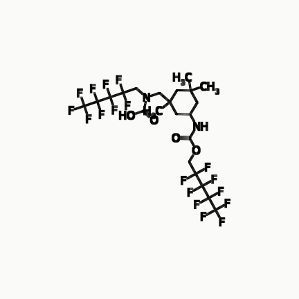 CC1(C)CC(NC(=O)OCC(F)(F)C(F)(F)C(F)(F)C(F)(F)F)CC(C)(CN(CC(F)(F)C(F)(F)C(F)(F)C(F)(F)F)C(=O)O)C1